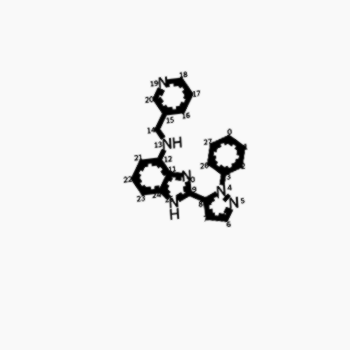 c1ccc(-n2nccc2-c2nc3c(NCc4cccnc4)cccc3[nH]2)cc1